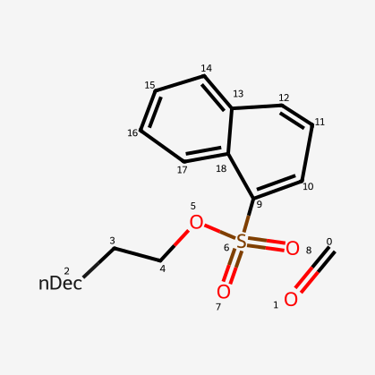 C=O.CCCCCCCCCCCCOS(=O)(=O)c1cccc2ccccc12